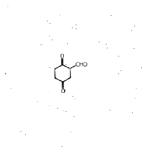 O=CC1CC(=O)CCC1=O